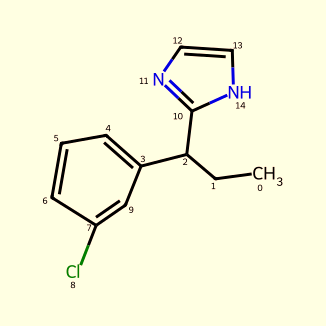 CCC(c1cccc(Cl)c1)c1ncc[nH]1